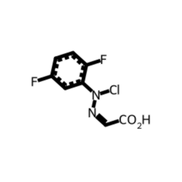 O=C(O)/C=N\N(Cl)c1cc(F)ccc1F